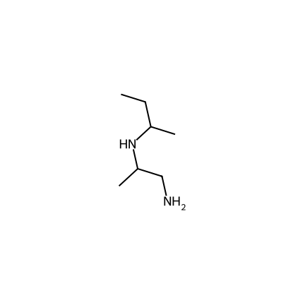 CCC(C)NC(C)CN